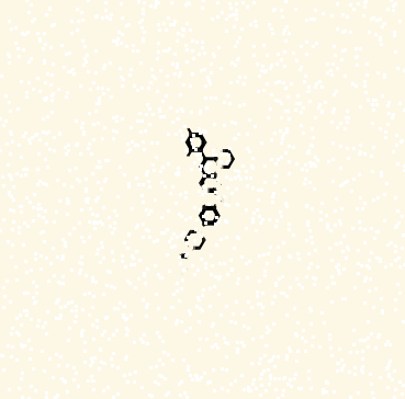 CC(C)(C)OC(=O)N1CCN(c2ccc(Nc3ncc4c(n3)N3CCCN=C3C(c3ccc(Cl)cc3Cl)=C4)c(F)c2)CC1